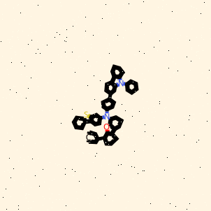 c1ccc(-c2cccc3c2oc2c(N(c4ccc(-c5ccc6c7ccccc7n(-c7ccccc7)c6c5)cc4)c4ccc5c(c4)sc4ccccc45)cccc23)cc1